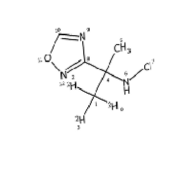 [2H]C([2H])([2H])C(C)(NCl)c1ncon1